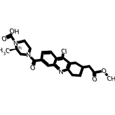 COC(=O)CC1CCc2nc3cc(C(=O)N4CCN(C(=O)O)[C@H](C)C4)ccc3c(Cl)c2C1